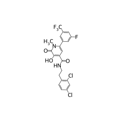 Cn1c(-c2cc(F)cc(C(F)(F)F)c2)cc(C(=O)NCCc2ccc(Cl)cc2Cl)c(O)c1=O